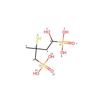 CC(S)(CC(O)P(=O)(O)O)CP(=O)(O)O